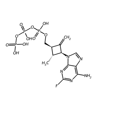 C=C1[C@@H](n2cnc3c(N)nc(F)nc32)[C@H](C)[C@H]1COP(=O)(O)OP(=O)(O)OP(=O)(O)O